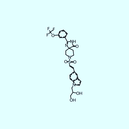 O=C1NC(c2cccc(OC(F)(F)F)c2)=NC12CCN(S(=O)(=O)C=Cc1ccc3c(ccn3CC(O)CO)c1)CC2